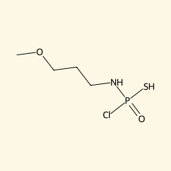 COCCCNP(=O)(S)Cl